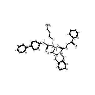 NCCCC[C@H](NC(=O)[C@@H]1Cc2ccccc2CN1C(=O)CCC(=O)c1ccccc1)C(=O)Nc1ccc(-c2ccccc2)cc1